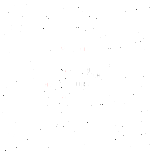 C=C.C=C.O=C(O)c1ccc(C(=O)O)o1